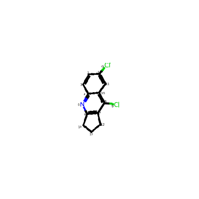 Clc1ccc2nc3c(c(Cl)c2c1)CCC3